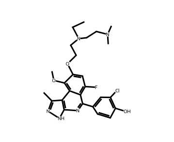 CCN(CCOc1cc(F)c2c(-c3ccc(O)c(Cl)c3)nc3[nH]nc(C)c3c2c1OC)CCN(C)C